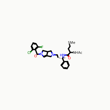 CSCCC(NC(C)=O)C(=O)N[C@@H](CCN1CC2=CN(C(=O)c3c(F)cccc3Cl)CC2C1)c1ccccc1